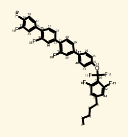 CCCCCc1cc(F)c(C(F)(F)Oc2ccc(-c3ccc(-c4ccc(-c5ccc(F)c(F)c5)c(F)c4)c(F)c3)cc2)c(F)c1